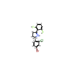 Fc1cccc(F)c1C1=N[C@@H](c2ccc(Br)cc2Cl)CC1